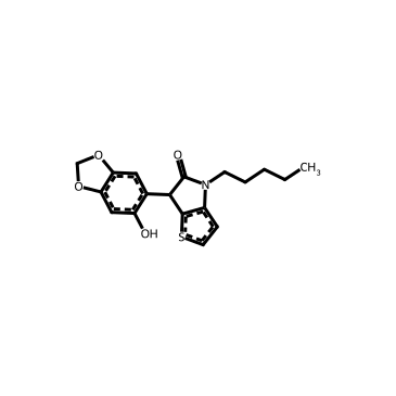 CCCCCN1C(=O)C(c2cc3c(cc2O)OCO3)c2sccc21